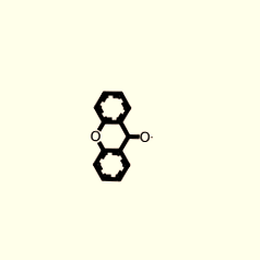 [O]C1c2ccccc2Oc2ccccc21